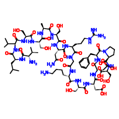 CC(C)C[C@H](NC(=O)[C@@H](N)C(C)C)C(=O)N[C@H](C(=O)N[C@@H](CO)C(=O)N[C@@H](CO)C(=O)N[C@@H](C)C(=O)N[C@@H](CO)C(=O)N[C@@H](CC(N)=O)C(=O)N[C@@H](CCCNC(=N)N)C(=O)NCC(=O)N[C@@H](CCCCN)C(=O)N[C@@H](CO)C(=O)N[C@@H](CC(=O)O)C(=O)N[C@@H](CC(=O)O)C(=O)N[C@@H](Cc1ccccc1)C(=O)N1CCC[C@H]1C(=O)N[C@@H](CO)C(=O)O)C(C)C